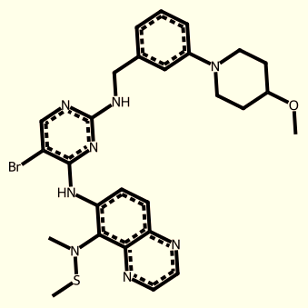 COC1CCN(c2cccc(CNc3ncc(Br)c(Nc4ccc5nccnc5c4N(C)SC)n3)c2)CC1